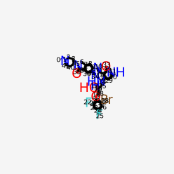 CN1CCC(N2Cc3cc4nc(-c5c(NC[C@@H](O)COc6c(F)cc(F)cc6Br)cc[nH]c5=O)[nH]c4cc3C2=O)CC1